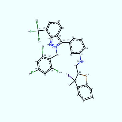 CC1(I)c2ccccc2SC1CNc1cccc(-c2c3cccc(C(F)(F)F)c3nn2Cc2c(F)cc(F)cc2F)c1